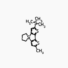 Cc1cc2c(s1)-c1sc([Si](C)(C)C)cc1[Si]21CCCC1